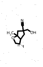 CC12CC(C#N)(CO)CC1[C@H](I)CO2